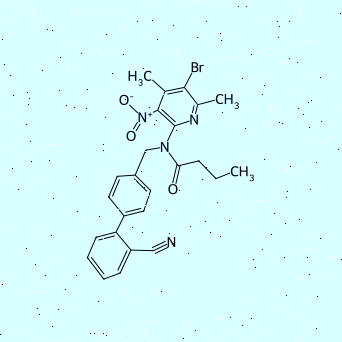 CCCC(=O)N(Cc1ccc(-c2ccccc2C#N)cc1)c1nc(C)c(Br)c(C)c1[N+](=O)[O-]